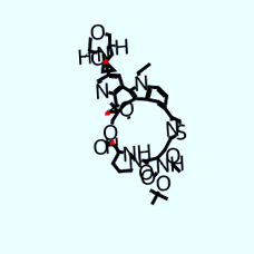 CCO[C@@H]1C2=NC(CS2)c2ccc3c(c2)c(c(-c2cc(C4C[C@H]5COC[C@H](C4)N5C4CC4)cnc2[C@H](C)OC)n3CC)CC(C)(C)COC(=O)[C@@H]2CCCN(N2)C(=O)[C@H]1NC(=O)OC(C)(C)C